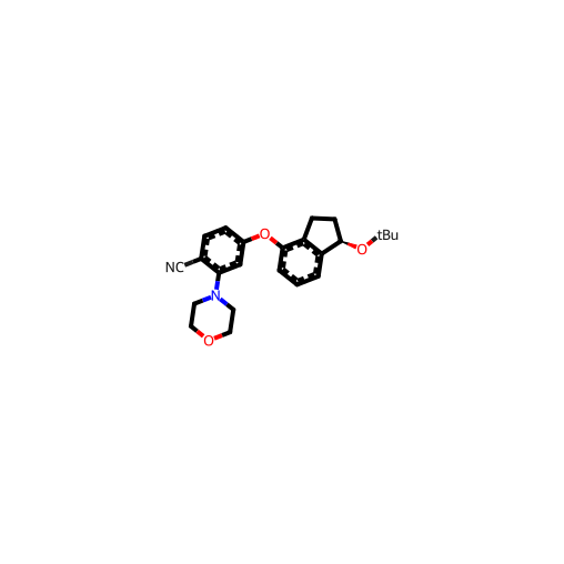 CC(C)(C)O[C@@H]1CCc2c(Oc3ccc(C#N)c(N4CCOCC4)c3)cccc21